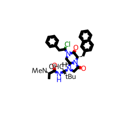 CN[C@@H](C)C(=O)N[C@@](C=O)(N1CC(=O)N2[C@@H](Cc3ccc4ccccc4c3)C(=O)N(C(Cl)Cc3ccccc3)C[C@@H]21)C(C)(C)C